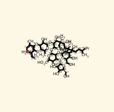 C/C=C(/C)C(=O)OC1C(O)[C@H](O[C@H](C(C)O[C@@H]2OC(C(=O)O)[C@@H](O)C(O[C@@H]3O[C@@H](CO)C(O)C3O)C2O[C@@H]2OC(CO)[C@H](O)C(O)C2O)[C@H](O)[C@](C)(COC(C)=O)[C@H](O)CC(C)(C)C(C)(C)CCC(C)C(C)C)OC(C)[C@@H]1OC(=O)/C(C)=C\C